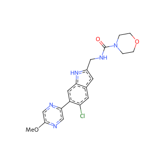 COc1cnc(-c2cc3[nH]c(CNC(=O)N4CCOCC4)cc3cc2Cl)cn1